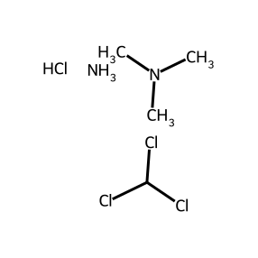 CN(C)C.Cl.ClC(Cl)Cl.N